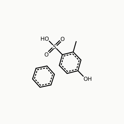 Cc1cc(O)ccc1S(=O)(=O)O.c1ccccc1